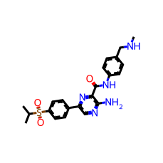 CNCc1ccc(NC(=O)c2nc(-c3ccc(S(=O)(=O)C(C)C)cc3)cnc2N)cc1